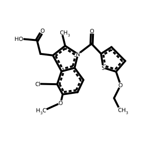 CCOc1ccc(C(=O)n2c(C)c(CC(=O)O)c3c(Cl)c(OC)ccc32)s1